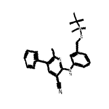 Cc1nc(Nc2cccc(CO[Si](C)(C)C(C)(C)C)c2)c(C#N)cc1-c1ccccc1